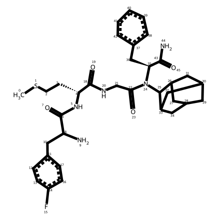 CSCC[C@@H](NC(=O)C(N)Cc1ccc(F)cc1)C(=O)NCC(=O)N(C1C2CC3CC(C2)CC1C3)[C@@H](Cc1ccccc1)C(N)=O